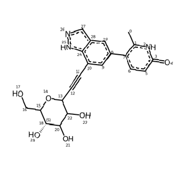 Cc1[nH]c(=O)ccc1-c1cc(C#CC2OC(CO)[C@@H](O)C(O)C2O)c2[nH]ncc2c1